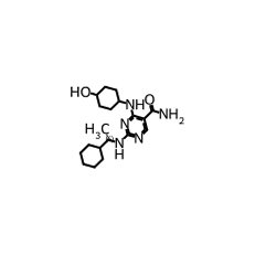 C[C@H](Nc1ncc(C(N)=O)c(NC2CCC(O)CC2)n1)C1CCCCC1